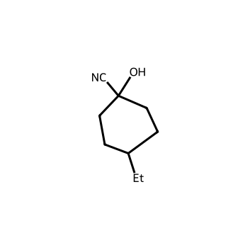 CCC1CCC(O)(C#N)CC1